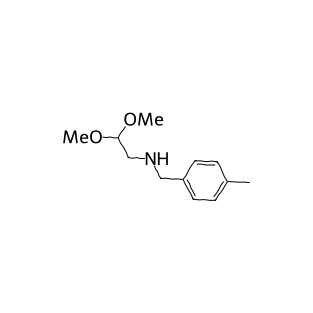 COC(CNCc1ccc(C)cc1)OC